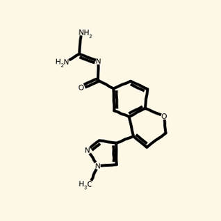 Cn1cc(C2=CCOc3ccc(C(=O)N=C(N)N)cc32)cn1